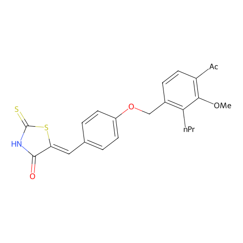 CCCc1c(COc2ccc(/C=C3\SC(=S)NC3=O)cc2)ccc(C(C)=O)c1OC